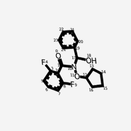 O=C(c1c(F)cccc1F)N(OC1CCCC1)C(O)c1ccccc1